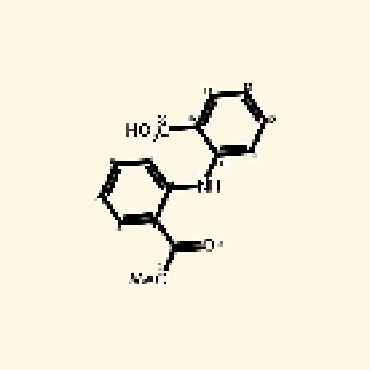 COC(=O)c1ccccc1Nc1ccccc1C(=O)O